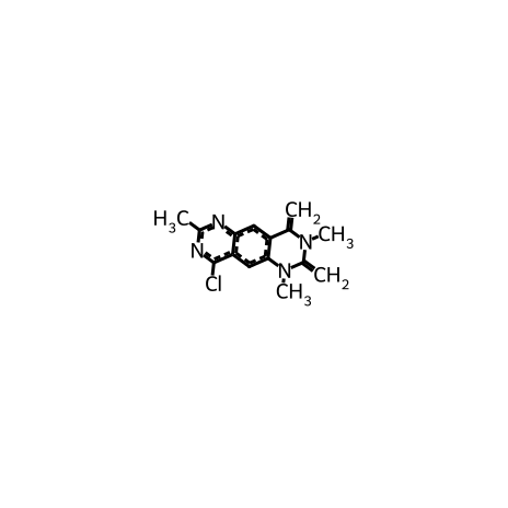 C=C1c2cc3nc(C)nc(Cl)c3cc2N(C)C(=C)N1C